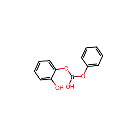 OB(Oc1ccccc1)Oc1ccccc1O